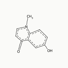 Cn1ccc(=O)c2cc(O)ccc21